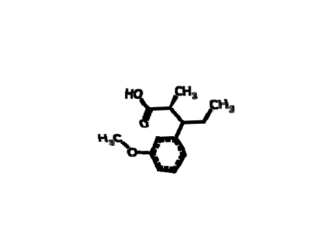 CCC(c1cccc(OC)c1)[C@H](C)C(=O)O